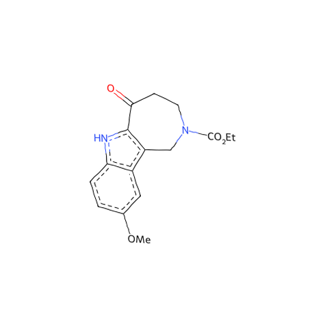 CCOC(=O)N1CCC(=O)c2[nH]c3ccc(OC)cc3c2C1